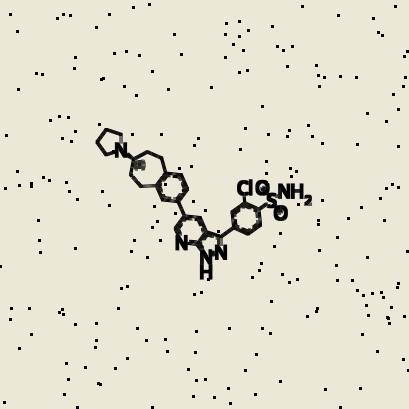 NS(=O)(=O)c1ccc(-c2n[nH]c3ncc(-c4ccc5c(c4)CC[C@@H](N4CCCC4)CC5)cc23)cc1Cl